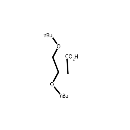 CC(=O)O.CCCCOCCOCCCC